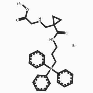 CC(C)(C)OC(=O)CNCC1(C(=O)NCCC[P+](c2ccccc2)(c2ccccc2)c2ccccc2)CC1.[Br-]